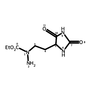 CCOC(=O)N(N)CCC1NC(=O)NC1=O